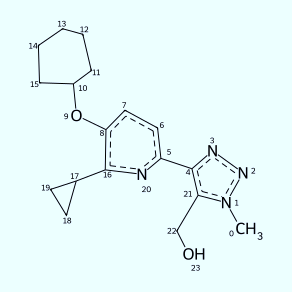 Cn1nnc(-c2ccc(OC3CCCCC3)c(C3CC3)n2)c1CO